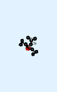 N#Cc1cc(-n2c3ccccc3c3cc(-n4c5ccccc5c5ccccc54)ccc32)c(-n2c3ccccc3c3cc(-n4c5ccccc5c5ccccc54)ccc32)cc1-c1cc(-c2ccccc2)nc(-c2ccccc2)c1